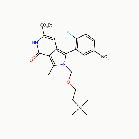 CCOC(=O)c1cc2c(-c3cc([N+](=O)[O-])ccc3F)n(COCC[Si](C)(C)C)c(C)c2c(=O)[nH]1